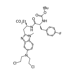 CCOC(=O)[C@H](Cc1nc2cc(N(CCCl)CCCl)ccc2n1C)NC(=O)[C@H](Cc1ccc(F)cc1)NC(=O)OC(C)(C)C